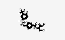 COC(=O)C(CO)NC(=O)c1ccc(CS(=O)(=O)Nc2ccc(F)c(C(F)(F)F)c2)cc1